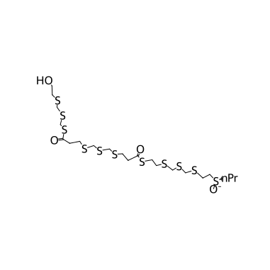 CCC[S+]([O-])CCSCSCSCCSC(=O)CCSCSCSCCC(=O)SCSCSCCO